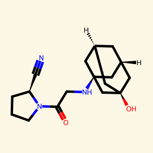 N#C[C@@H]1CCCN1C(=O)CN[C@@]12C[C@@H]3C[C@@H](C[C@](O)(C3)C1)C2